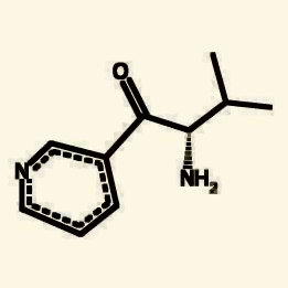 CC(C)[C@H](N)C(=O)c1cccnc1